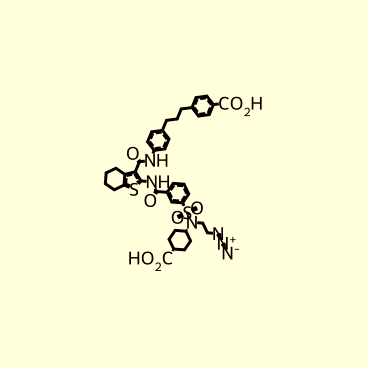 [N-]=[N+]=NCCN([C@H]1CC[C@H](C(=O)O)CC1)S(=O)(=O)c1cccc(C(=O)Nc2sc3c(c2C(=O)Nc2ccc(CCCc4ccc(C(=O)O)cc4)cc2)CCCC3)c1